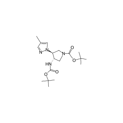 Cc1cnn([C@H]2CN(C(=O)OC(C)(C)C)C[C@@H]2NC(=O)OC(C)(C)C)c1